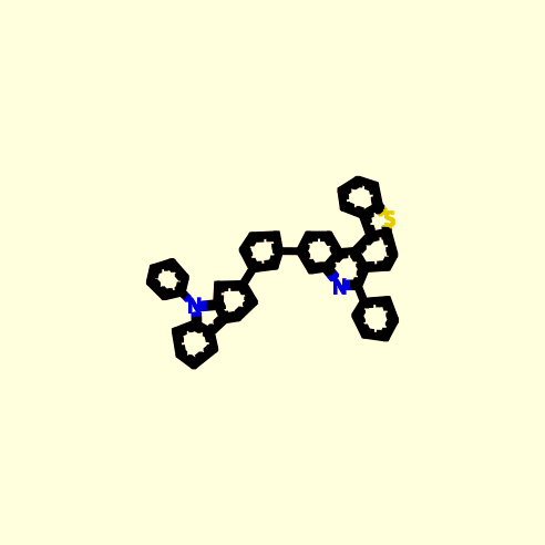 c1ccc(-c2nc3cc(-c4cccc(-c5ccc6c7ccccc7n(-c7ccccc7)c6c5)c4)ccc3c3c2ccc2sc4ccccc4c23)cc1